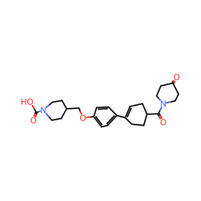 O=C1CCN(C(=O)C2CC=C(c3ccc(OCC4CCN(C(=O)O)CC4)cc3)CC2)CC1